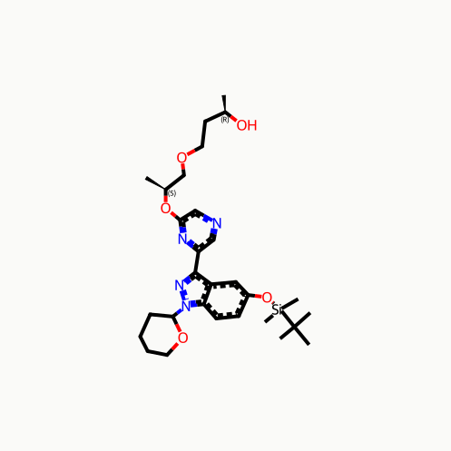 C[C@@H](O)CCOC[C@H](C)Oc1cncc(-c2nn(C3CCCCO3)c3ccc(O[Si](C)(C)C(C)(C)C)cc23)n1